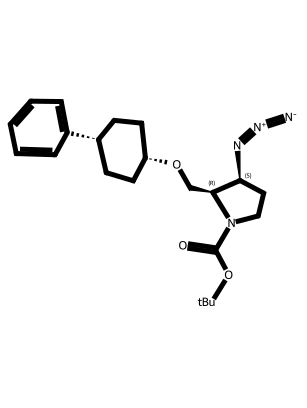 CC(C)(C)OC(=O)N1CC[C@H](N=[N+]=[N-])[C@@H]1CO[C@H]1CC[C@@H](c2ccccc2)CC1